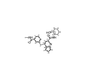 CNC(=O)c1cccc(Cc2cc(C(=O)N[C@H]3CCCC[C@@H]3O)nn3cccc23)c1